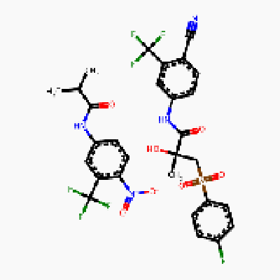 CC(C)C(=O)Nc1ccc([N+](=O)[O-])c(C(F)(F)F)c1.CC(O)(CS(=O)(=O)c1ccc(F)cc1)C(=O)Nc1ccc(C#N)c(C(F)(F)F)c1